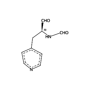 O=CN[C@H](C=O)Cc1ccncc1